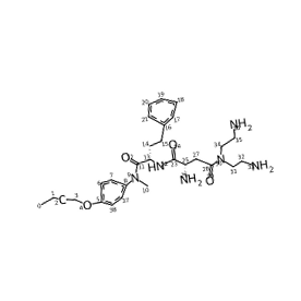 CCCCOc1ccc(N(C)C(=O)[C@H](CCc2ccccc2)NC(=O)[C@@H](N)CC(=O)N(CCN)CCN)cc1